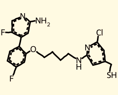 Nc1cc(-c2ccc(F)cc2OCCCCNc2cc(CS)cc(Cl)n2)c(F)cn1